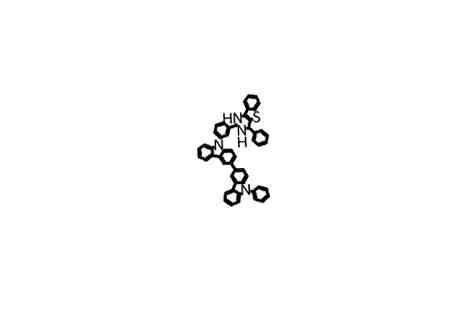 c1ccc(C2NC(c3cccc(-n4c5ccccc5c5cc(-c6ccc7c(c6)c6ccccc6n7-c6ccccc6)ccc54)c3)Nc3c2sc2ccccc32)cc1